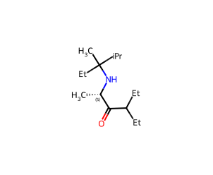 CCC(CC)C(=O)[C@H](C)NC(C)(CC)C(C)C